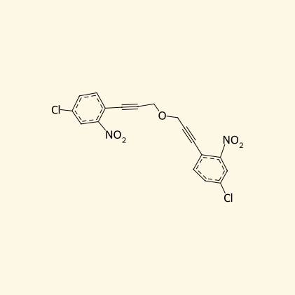 O=[N+]([O-])c1cc(Cl)ccc1C#CCOCC#Cc1ccc(Cl)cc1[N+](=O)[O-]